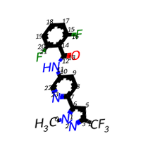 Cn1nc(C(F)(F)F)cc1-c1ccc(NC(=O)c2c(F)cccc2F)cn1